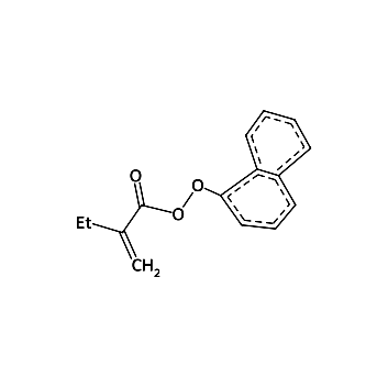 C=C(CC)C(=O)OOc1cccc2ccccc12